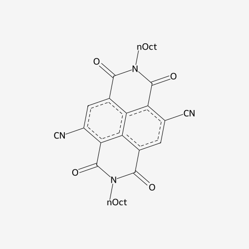 [C-]#[N+]c1cc2c3c(c(C#N)cc4c3c1C(=O)N(CCCCCCCC)C4=O)C(=O)N(CCCCCCCC)C2=O